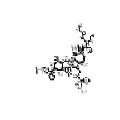 CCCCC(CC)C(=O)Nc1ccc2c(CCC(=O)OC)cn(Cc3ccc(C(=O)O)cc3OC)c2c1